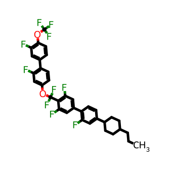 CCCC1CCC(c2ccc(-c3cc(F)c(C(F)(F)Oc4ccc(-c5ccc(OC(F)(F)F)c(F)c5)c(F)c4)c(F)c3)c(F)c2)CC1